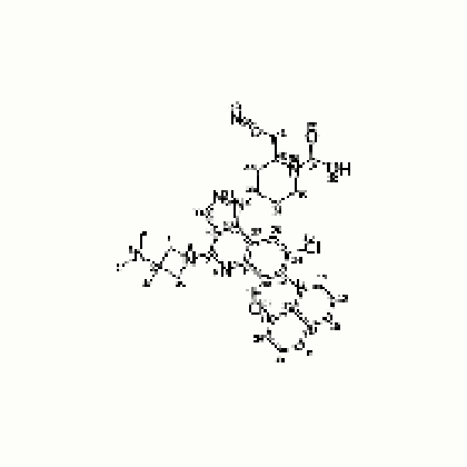 CN(C)C1(C)CN(c2nc3c(F)c(-c4cccc5cccc(Cl)c45)c(Cl)cc3c3c2cnn3[C@H]2CCN(C(=O)O)[C@H](CC#N)C2)C1